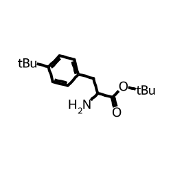 CC(C)(C)OC(=O)C(N)Cc1ccc(C(C)(C)C)cc1